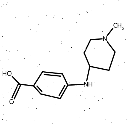 CN1CCC(Nc2ccc(C(=O)O)cc2)CC1